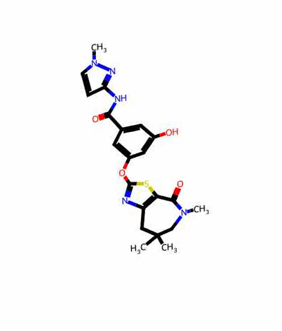 CN1CC(C)(C)Cc2nc(Oc3cc(O)cc(C(=O)Nc4ccn(C)n4)c3)sc2C1=O